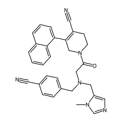 Cn1cncc1CN(CC(=O)N1CCC(C#N)=C(c2cccc3ccccc23)C1)Cc1ccc(C#N)cc1